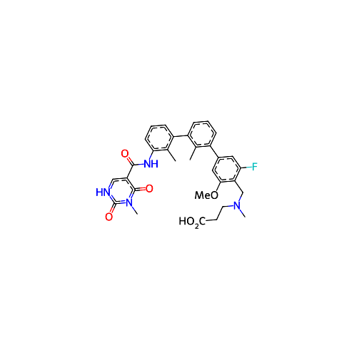 COc1cc(-c2cccc(-c3cccc(NC(=O)c4c[nH]c(=O)n(C)c4=O)c3C)c2C)cc(F)c1CN(C)CCC(=O)O